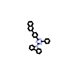 c1ccc(-c2nc(-c3ccc(-c4ccc5ccccc5c4)cc3)nc(-n3c4ccccc4c4ccccc43)n2)cc1